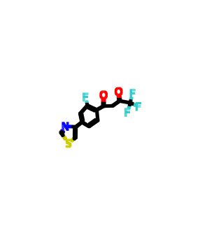 O=C(CC(=O)C(F)(F)F)c1ccc(-c2cscn2)cc1F